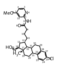 COc1ccnc(NC(=O)CCC[C@@H]2C/C(=N\O)[C@@]3(C)CCC4c5ccc(Cl)cc5CCC4C23)c1